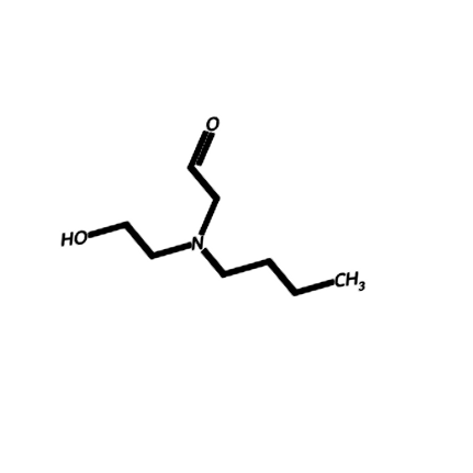 CCCCN(CC=O)CCO